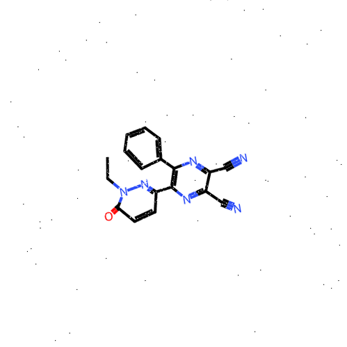 CCn1nc(-c2nc(C#N)c(C#N)nc2-c2ccccc2)ccc1=O